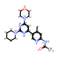 Cc1cc(NC(=O)C(F)(F)F)ncc1-c1cc(N2CCOCC2)nc(N2CCCCC2)n1